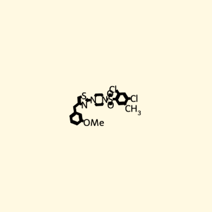 COc1cccc(Cc2csc(N3CCN(S(=O)(=O)c4cc(C)c(Cl)cc4Cl)CC3)n2)c1